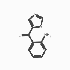 Nc1ccccc1C(=O)c1cncs1